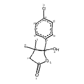 CC1(C)CC(=O)OC1(O)c1ccc(Cl)cc1